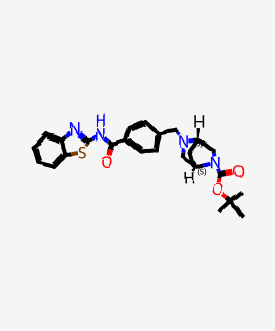 CC(C)(C)OC(=O)N1C[C@@H]2C[C@H]1CN2Cc1ccc(C(=O)Nc2nc3ccccc3s2)cc1